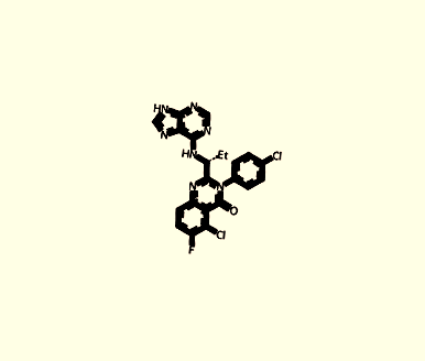 CC[C@@H](Nc1ncnc2[nH]cnc12)c1nc2ccc(F)c(Cl)c2c(=O)n1-c1ccc(Cl)cc1